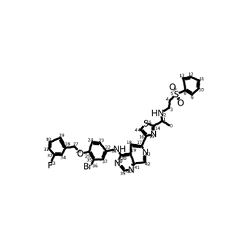 CC(NCCS(=O)(=O)c1ccccc1)c1nc(-c2cc3c(Nc4ccc(OCc5cccc(F)c5)c(Br)c4)ncnc3cn2)cs1